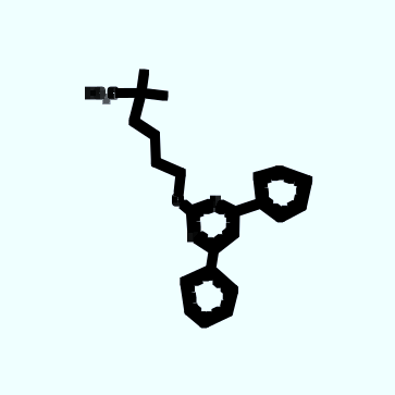 CC(C)(CCCCOc1nc(-c2ccccc2)cc(-c2ccccc2)n1)C(=O)O